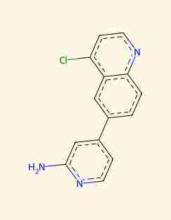 Nc1cc(-c2ccc3nccc(Cl)c3c2)ccn1